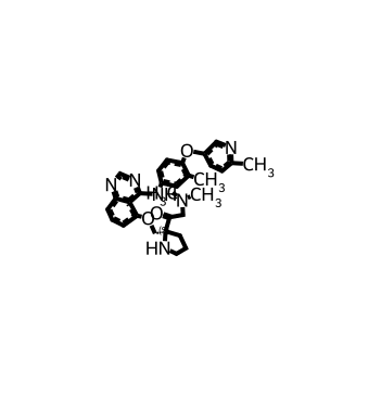 Cc1ccc(Oc2ccc(Nc3ncnc4cccc(OC[C@]5(C(=O)CN(C)C)CCCN5)c34)cc2C)cn1